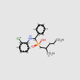 O=C(O)CCC(CP(=O)(O)C(Nc1ccccc1Cl)c1ccccc1)C(=O)O